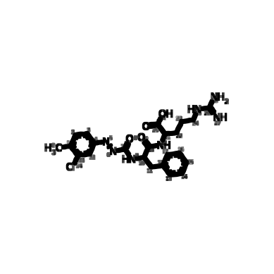 Cc1ccc(/N=N/C(=O)NC(Cc2ccccc2)C(=O)NC(CCCNC(=N)N)C(=O)O)cc1Cl